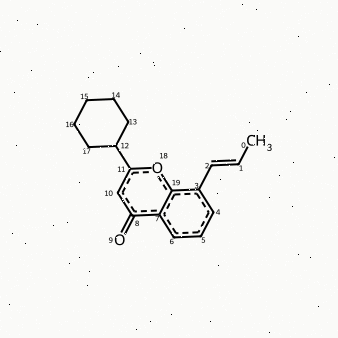 CC=Cc1cccc2c(=O)cc(C3CCCCC3)oc12